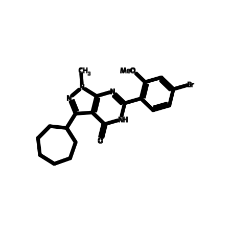 COc1cc(Br)ccc1-c1nc2c(c(C3CCCCCC3)nn2C)c(=O)[nH]1